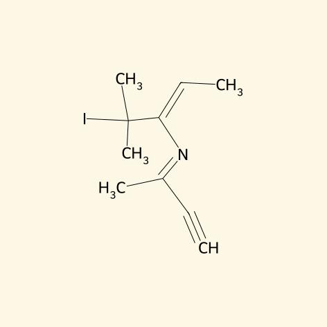 C#C/C(C)=N/C(=C\C)C(C)(C)I